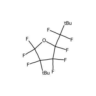 CC(C)(C)C(F)(F)C1(F)OC(F)(F)C(F)(C(C)(C)C)C1(F)F